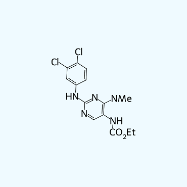 CCOC(=O)Nc1cnc(Nc2ccc(Cl)c(Cl)c2)nc1NC